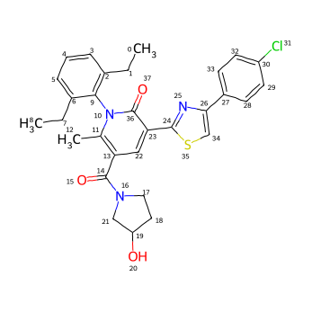 CCc1cccc(CC)c1-n1c(C)c(C(=O)N2CCC(O)C2)cc(-c2nc(-c3ccc(Cl)cc3)cs2)c1=O